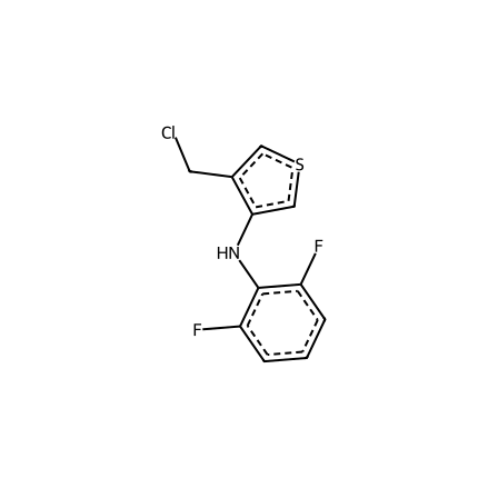 Fc1cccc(F)c1Nc1cscc1CCl